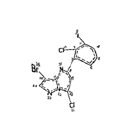 Clc1c(I)cccc1-c1cc(Cl)n2ncc(Br)c2n1